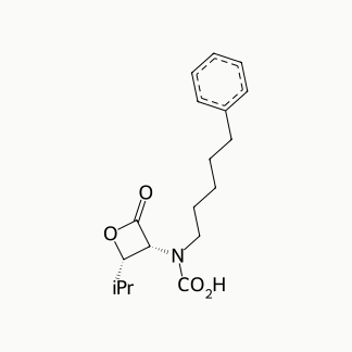 CC(C)[C@@H]1OC(=O)[C@@H]1N(CCCCCc1ccccc1)C(=O)O